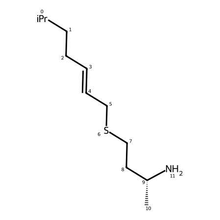 CC(C)CC/C=C/CSCC[C@@H](C)N